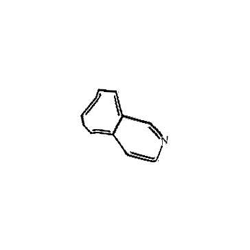 [c]1cc2ccc[c]c2cn1